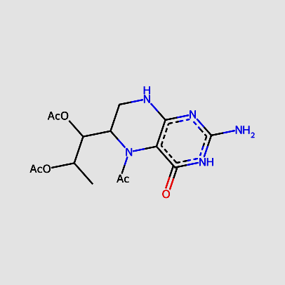 CC(=O)OC(C)C(OC(C)=O)C1CNc2nc(N)[nH]c(=O)c2N1C(C)=O